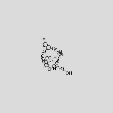 Cc1nn(CCOCCO)c2c1-c1c(Cl)ccc3c1c(C)c(C(=O)O)n3CCCOc1cc(cc3cc(F)ccc13)CCc1cc(nn1C)CSC2